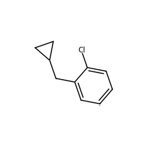 Clc1cc[c]cc1CC1CC1